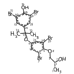 CC(O)COc1c(Br)cc(OC(C)(C)c2cc(Br)c(O)c(Br)c2)cc1Br